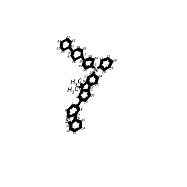 CC1(C)c2cc(-c3ccc4sc5ccccc5c4c3)ccc2-c2ccc(N(c3ccccc3)c3ccc(C4C=CC(C5C=CC=CC5)=CC4)cc3)cc21